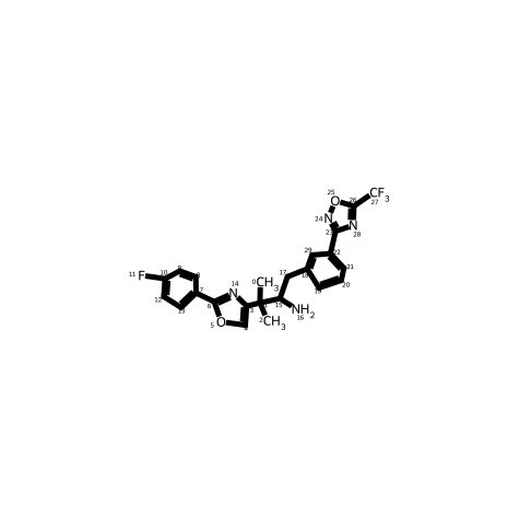 CC(C)(c1coc(-c2ccc(F)cc2)n1)C(N)Cc1cccc(-c2noc(C(F)(F)F)n2)c1